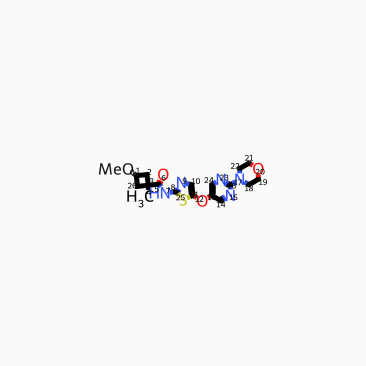 COC1CC(C)(C(=O)Nc2ncc(Oc3cnc(N4CCOCC4)nc3)s2)C1